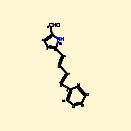 O=Cc1ccc(C=CC=Cc2ccccc2)[nH]1